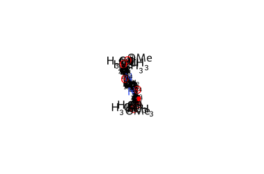 CO[Si](C)(C)O[Si](C)(C)Oc1ccc(-c2nc3c(ccc4c3ccc3oc(-c5ccc(O[Si](C)(C)O[Si](C)(C)OC)cc5)nc34)o2)cc1